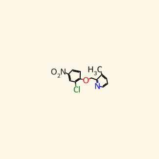 Cc1cccnc1COc1ccc([N+](=O)[O-])cc1Cl